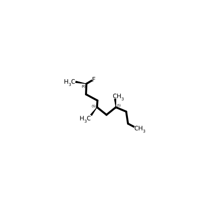 CCC[C@H](C)C[C@@H](C)CC[C@@H](C)F